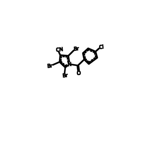 N#Cc1c(Br)c(Br)n(C(=O)c2ccc(Cl)cc2)c1Br